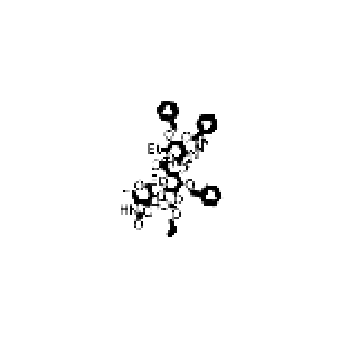 C=CCOC(=O)OC1[C@H](O[C@@H]2C(CC)O[C@@H](C)C3NC(=O)O[C@H]32)OC(C(=O)OC)[C@@H](O[C@H]2OC(CC)[C@H](OCc3ccccc3)[C@H](OCc3ccccc3)C2N=[N+]=[N-])[C@@H]1OCc1ccccc1